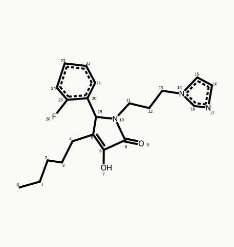 CCCCCC1=C(O)C(=O)N(CCCn2ccnc2)C1c1ccccc1F